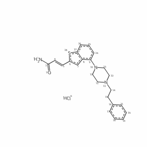 Cl.NC(=O)C=Cc1cc2c(N3CCN(CCc4ccccc4)CC3)cccc2s1